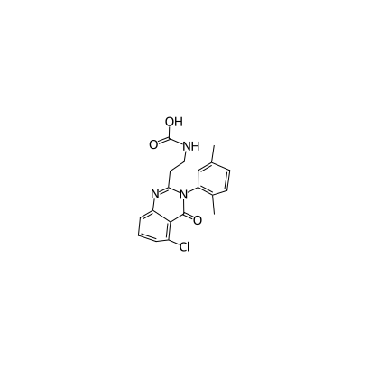 Cc1ccc(C)c(-n2c(CCNC(=O)O)nc3cccc(Cl)c3c2=O)c1